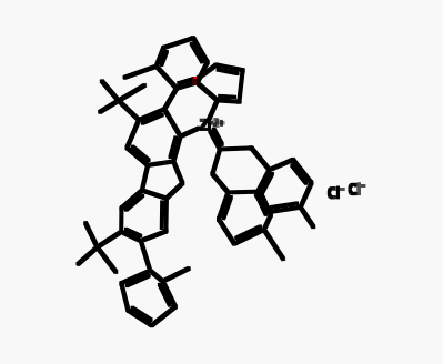 Cc1ccc(C[C](Cc2ccc(C)cc2)=[Zr+2]([C]2=CC=CC2)[c]2c3c(cc(C(C)(C)C)c2-c2ccccc2C)-c2cc(C(C)(C)C)c(-c4ccccc4C)cc2C3)cc1.[Cl-].[Cl-]